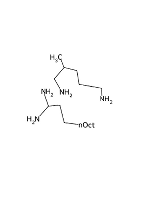 CC(CN)CCCN.CCCCCCCCCCC(N)N